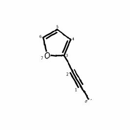 [CH2]C#Cc1ccco1